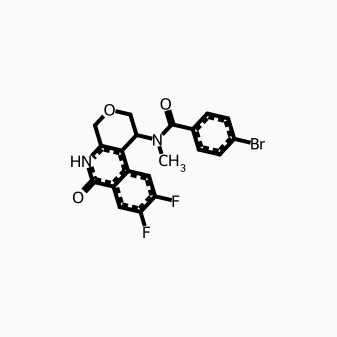 CN(C(=O)c1ccc(Br)cc1)C1COCc2[nH]c(=O)c3cc(F)c(F)cc3c21